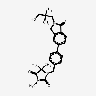 CN1C(=O)N(Cc2ccc(-c3ccc4c(c3)CN(CC(C)(C)CO)C4=O)cc2)C(C)(C)C1=O